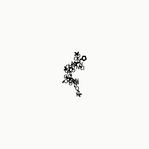 CCOC(=O)C(Cc1nnn(COCC[Si](C)(C)C)n1)(OC[C@H]1O[C@@H](n2ncc3c(N(C(=O)OC(C)(C)C)C4CCCC4)nc(Cl)nc32)[C@@H]2OC(C)(C)O[C@@H]21)P(C)(C)=O